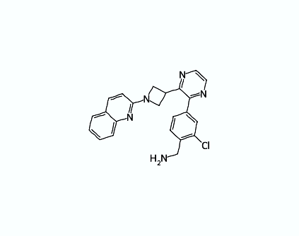 NCc1ccc(-c2nccnc2C2CN(c3ccc4ccccc4n3)C2)cc1Cl